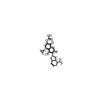 CNC1CC=CC2CN(c3c(F)cc4c(=O)c(OC(=O)O)cn(C5CC5)c4c3Cl)CC21